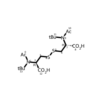 CC(=O)N([C@@H](CSSC[C@@H](C(=O)O)N(C(C)=O)C(C)(C)C)C(=O)O)C(C)(C)C